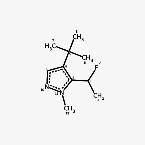 CC(F)c1c(C(C)(C)C)cnn1C